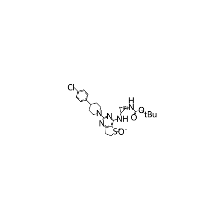 CC(C)(C)OC(=O)N[C@@H]1CC1Nc1nc(N2CCC(c3ccc(Cl)cc3)CC2)nc2c1[S+]([O-])CC2